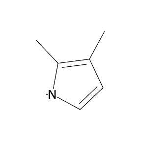 CC1=C(C)[N]C=C1